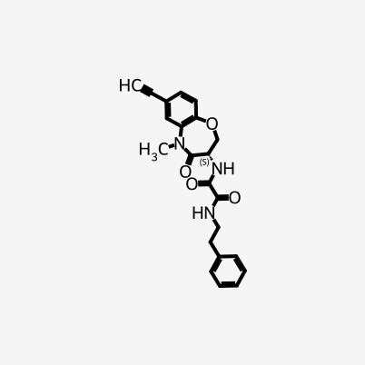 C#Cc1ccc2c(c1)N(C)C(=O)[C@@H](NC(=O)C(=O)NCCc1ccccc1)CO2